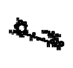 CC[C@H](NC(=O)[C@H]1C[C@@H](NCCOCCOCCC(=O)NCCn2nc3c(c2C#N)-c2cnc(N)c(n2)N2CCC[C@@H]2c2cc(F)ccc2C(=O)N(C)C3)CN1C(=O)C(NC(=O)[C@@H](C)NC)C(C)(C)C)c1ccccc1